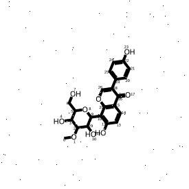 COC1C(O)C(CO)OC(c2c(O)ccc3c(=O)c(-c4ccc(O)cc4)coc23)C1O